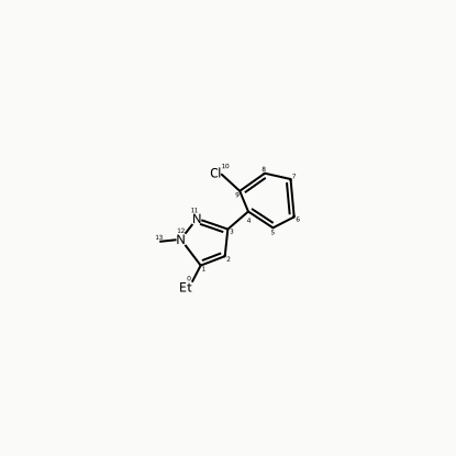 CCc1cc(-c2ccccc2Cl)nn1C